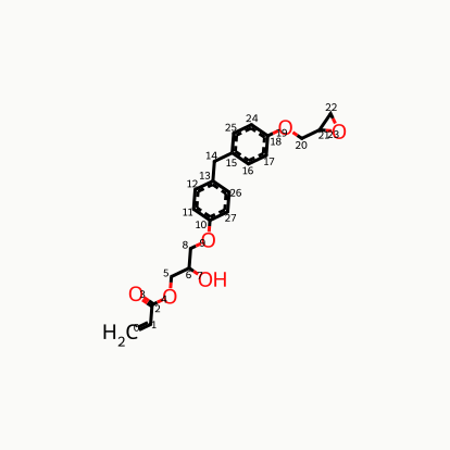 C=CC(=O)OCC(O)COc1ccc(Cc2ccc(OCC3CO3)cc2)cc1